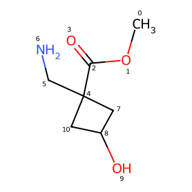 COC(=O)C1(CN)CC(O)C1